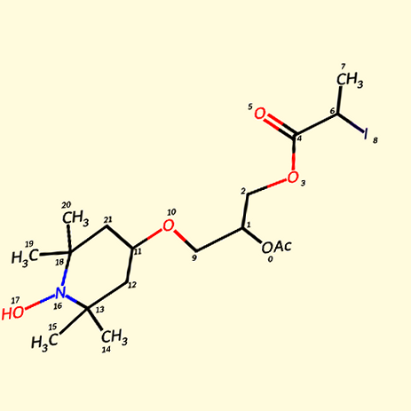 CC(=O)OC(COC(=O)C(C)I)COC1CC(C)(C)N(O)C(C)(C)C1